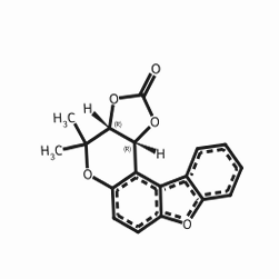 CC1(C)Oc2ccc3oc4ccccc4c3c2[C@H]2OC(=O)O[C@H]21